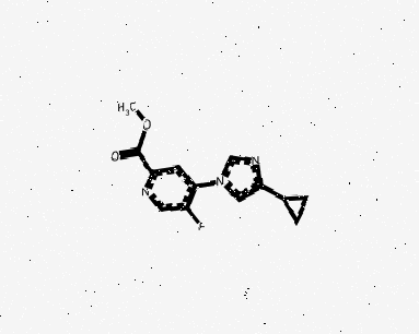 COC(=O)c1cc(-n2cnc(C3CC3)c2)c(F)cn1